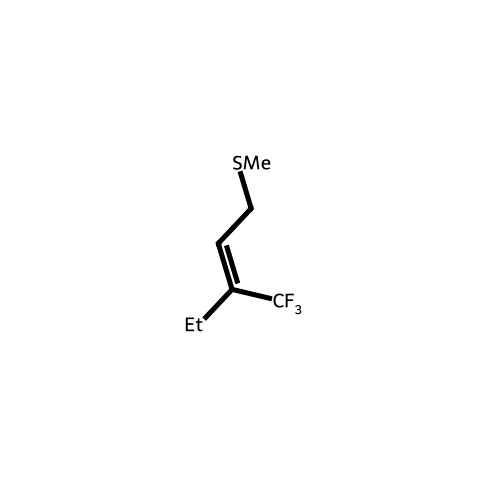 CCC(=CCSC)C(F)(F)F